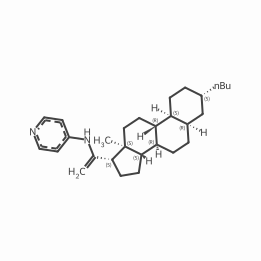 C=C(Nc1ccncc1)[C@H]1CC[C@H]2[C@@H]3CC[C@@H]4C[C@@H](CCCC)CC[C@@H]4[C@H]3CC[C@]12C